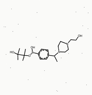 CC(c1ccc(B(O)OC(C)(C)C(C)(C)O)cc1)N1CCN(CCO)CC1